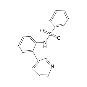 O=S(=O)(Nc1ccccc1-c1cccnc1)c1ccccc1